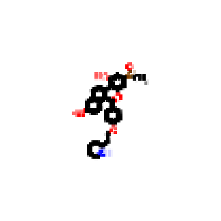 C[S+]([O-])c1ccc(-c2ccc3cc(O)ccc3c2C(=O)c2ccc(OCCC3CCCCN3)cc2)c(O)c1